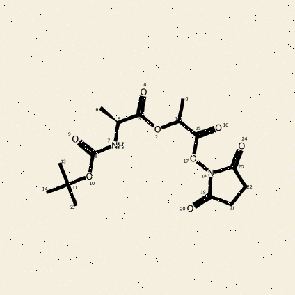 CC(OC(=O)[C@H](C)NC(=O)OC(C)(C)C)C(=O)ON1C(=O)CCC1=O